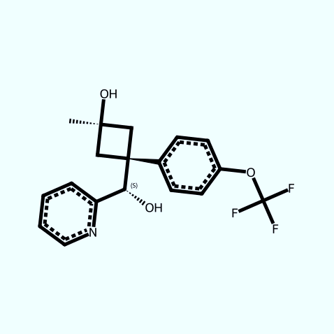 C[C@]1(O)C[C@](c2ccc(OC(F)(F)F)cc2)([C@H](O)c2ccccn2)C1